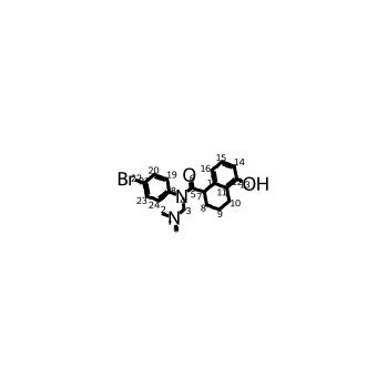 CN(C)CN(C(=O)C1CCCc2c(O)cccc21)c1ccc(Br)cc1